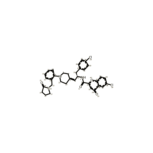 O=C(N[C@@H](C=C1CCN(c2ccccc2CN2CCCC2=O)CC1)Cc1ccc(Cl)cc1)c1cc(=O)c2cc(Cl)ccc2o1